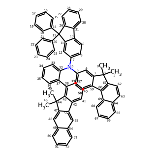 CC1(C)c2cc(N(c3ccc4c(c3)C(c3ccccc3)(c3ccccc3)c3ccccc3-4)c3ccccc3-c3cccc4c3C(C)(C)c3cc5ccccc5cc3-4)ccc2-c2c1ccc1ccccc21